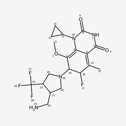 COC1=c2c(c(=O)[nH]c(=O)n2C2CC2)=C(C)C(F)C1N1CC(CN)C(C(F)(F)F)C1